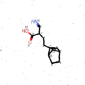 N=CC(CCC1=CC2CCC1C2)C(=O)O